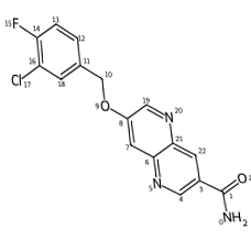 NC(=O)c1cnc2cc(OCc3ccc(F)c(Cl)c3)cnc2c1